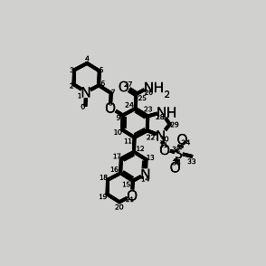 CN1CCCCC1COc1cc(-c2cnc3c(c2)CCCO3)c2c(c1C(N)=O)NCN2OS(C)(=O)=O